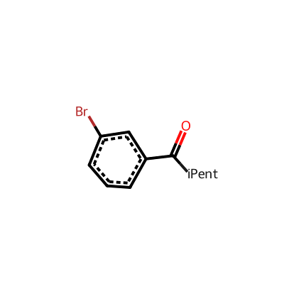 CCCC(C)C(=O)c1cccc(Br)c1